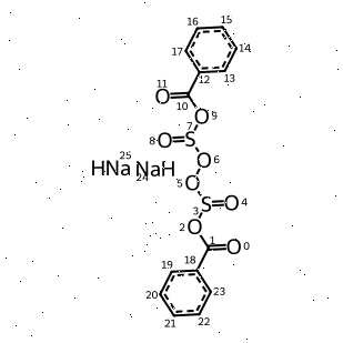 O=C(OS(=O)OOS(=O)OC(=O)c1ccccc1)c1ccccc1.[NaH].[NaH]